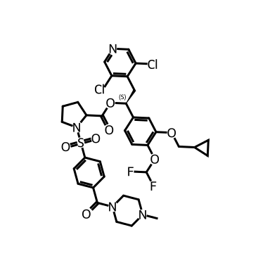 CN1CCN(C(=O)c2ccc(S(=O)(=O)N3CCCC3C(=O)O[C@@H](Cc3c(Cl)cncc3Cl)c3ccc(OC(F)F)c(OCC4CC4)c3)cc2)CC1